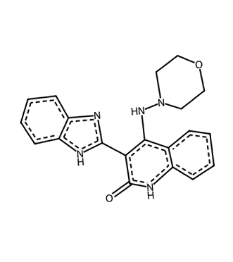 O=c1[nH]c2ccccc2c(NN2CCOCC2)c1-c1nc2ccccc2[nH]1